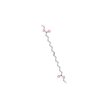 CCOC(=O)CCCCCCCC=CCCCCCCCC(=O)OCC